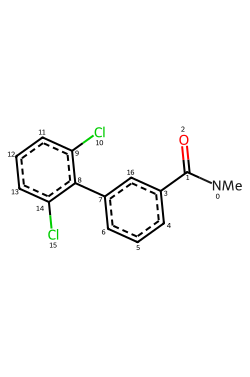 CNC(=O)c1cccc(-c2c(Cl)cccc2Cl)c1